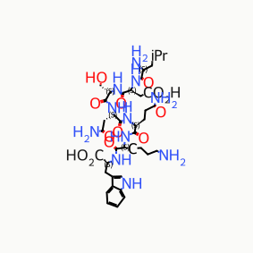 CC(C)C[C@H](N)C(=O)N[C@@H](CC(=O)O)C(=O)N[C@@H](CO)C(=O)N[C@@H](CC(N)=O)C(=O)N[C@@H](CCC(N)=O)C(=O)N[C@@H](CCCCN)C(=O)N[C@@H](Cc1c[nH]c2ccccc12)C(=O)O